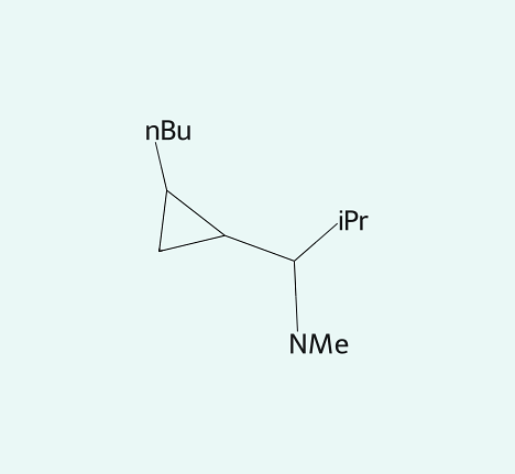 CCCCC1CC1C(NC)C(C)C